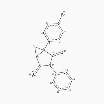 C=C1C2CC2(c2ccc(Br)cc2)C(=O)N1c1ccccc1